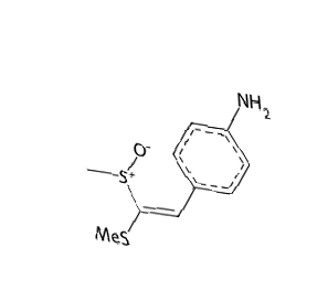 CSC(=Cc1ccc(N)cc1)[S+](C)[O-]